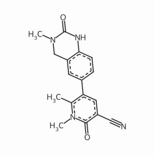 Cc1c(-c2ccc3c(c2)CN(C)C(=O)N3)cc(C#N)c(=O)n1C